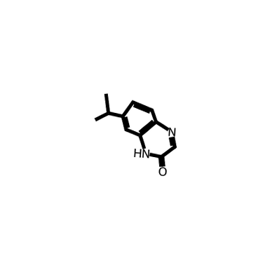 CC(C)c1ccc2ncc(=O)[nH]c2c1